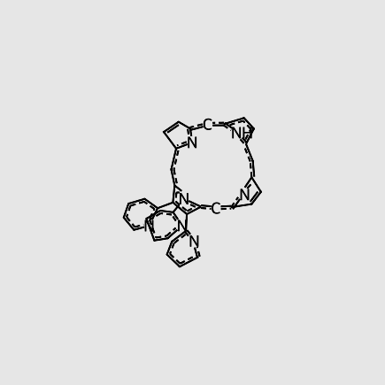 C1=Cc2cc3c(-c4ccccn4)c(-c4ccccn4)c(cc4nc(cc5ccc(cc1n2)[nH]5)C=C4)n3-c1ccccn1